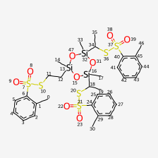 Cc1ccccc1S(=O)(=O)SCC[Si]1(C)O[Si](C)(C(C)SS(=O)(=O)c2ccccc2C)O[Si](C)(C(C)SS(=O)(=O)c2ccccc2C)O1